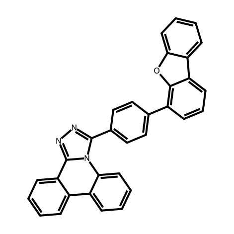 c1ccc2c(c1)oc1c(-c3ccc(-c4nnc5c6ccccc6c6ccccc6n45)cc3)cccc12